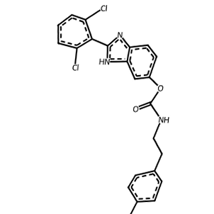 O=C(NCCc1ccc(O)cc1)Oc1ccc2nc(-c3c(Cl)cccc3Cl)[nH]c2c1